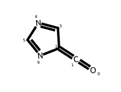 O=C=C1C=NC=N1